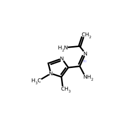 C=C(N)/N=C(/N)c1ncn(C)c1C